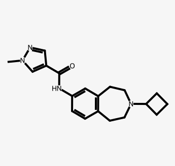 Cn1cc(C(=O)Nc2ccc3c(c2)CCN(C2CCC2)CC3)cn1